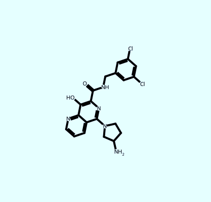 NC1CCN(c2nc(C(=O)NCc3cc(Cl)cc(Cl)c3)c(O)c3ncccc23)C1